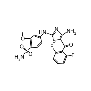 COc1cc(Nc2nc(N)c(C(=O)c3c(F)cccc3F)s2)ccc1S(N)(=O)=O